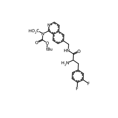 CC(C)(C)OC(=O)N(C(=O)O)c1nccc2cc(CNC(=O)C(N)Cc3ccc(F)c(F)c3)ccc12